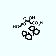 CC1(OC2(C)CCCCC23CCCC3)CCCCC12CCCC2.O=C(O)CC(O)C(=O)OCCO